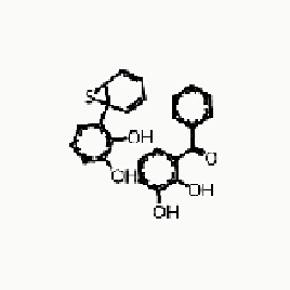 O=C(c1ccccc1)c1cccc(O)c1O.Oc1cccc(C23C=CC=CC2S3)c1O